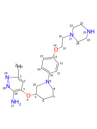 [2H]c1cc(OC2CCCN(c3ccc(OCCN4CCNCC4)cc3)C2)c(N)nn1